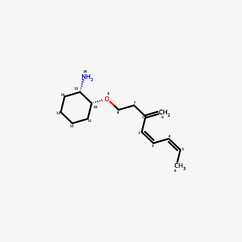 C=C(/C=C\C=C/C)CCO[C@@H]1CCCC[C@@H]1N